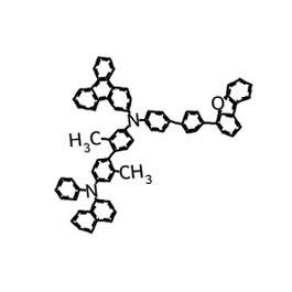 Cc1cc(N(c2ccc(-c3ccc(-c4cccc5c4oc4ccccc45)cc3)cc2)c2ccc3c4ccccc4c4ccccc4c3c2)ccc1-c1ccc(N(c2ccccc2)c2cccc3ccccc23)cc1C